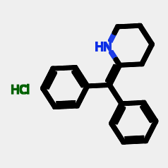 Cl.c1ccc(C(=C2CCCCN2)c2ccccc2)cc1